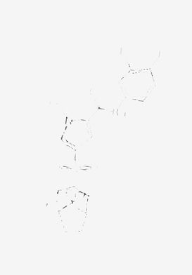 Cn1cc(S(=O)(=O)[C@@H]2CC3CC[C@@H](C2)[C@]3(C)O)cc1C(=O)Nc1ccc(F)c(F)c1